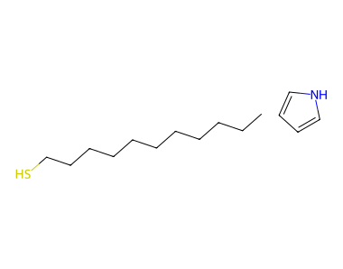 CCCCCCCCCCCS.c1cc[nH]c1